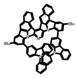 CC(C)(C)c1cc(-c2ccc3c(c2)c2ccccc2n3-c2ccccc2)c2c(c1)c1c3ccccc3cc3c4c5c6c7ccccc7cc7c8cc(C(C)(C)C)cc(-c9ccc%10c(c9)c9ccccc9n%10-c9ccccc9)c8n(c5ncc4n2c31)c76